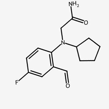 NC(=O)CN(c1ccc(F)cc1C=O)C1CCCC1